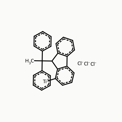 CC(c1ccccc1)(c1ccccc1)C1c2ccccc2-c2ccc[c]([Ti+3])c21.[Cl-].[Cl-].[Cl-]